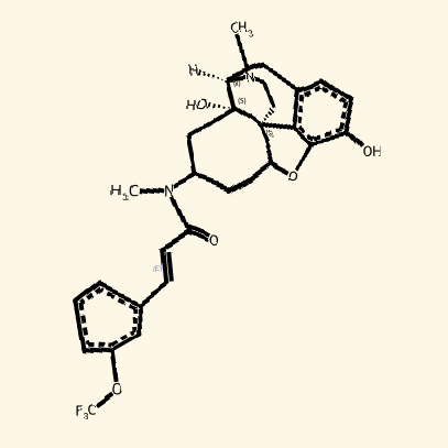 CN(C(=O)/C=C/c1cccc(OC(F)(F)F)c1)C1CC2Oc3c(O)ccc4c3[C@@]23CCN(C)[C@H](C4)[C@]3(O)C1